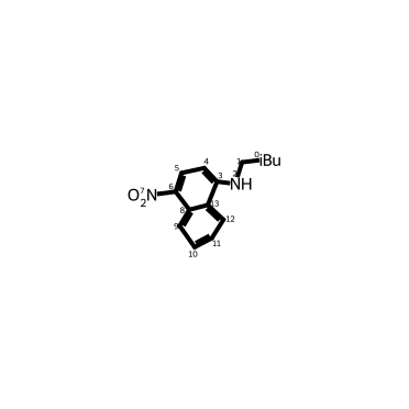 CCC(C)CNc1ccc([N+](=O)[O-])c2ccccc12